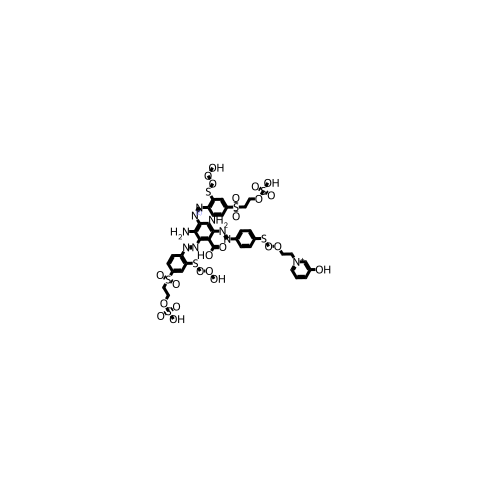 Nc1c(N=Nc2ccc(SOOCC[n+]3cccc(O)c3)cc2)c(C(=O)O)c(N=Nc2ccc(S(=O)(=O)CCOS(=O)(=O)O)cc2SOOO)c(N)c1/N=N\c1ccc(S(=O)(=O)CCOS(=O)(=O)O)cc1SOOO